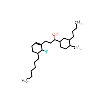 CCCCCCC1CCC=C(CC[C@H](O)C2CCC(C)C(CCCC)C2)C1F